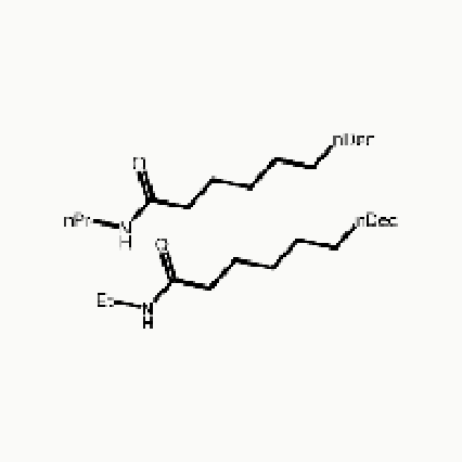 CCCCCCCCCCCCCCCC(=O)NCC.CCCCCCCCCCCCCCCC(=O)NCCC